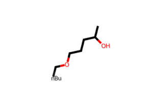 CCCCCOCCCC(C)O